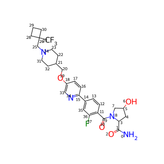 NC(=O)C1CC(O)CN1C(=O)c1ccc(-c2ccc(OCC3CCN(CC4(C(F)(F)F)CCC4)CC3)cn2)cc1F